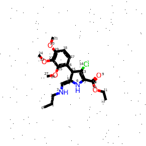 CCCNC=C1NC(C(=O)OCC)=C(Cl)C1c1ccc(OC)c(OC)c1OC